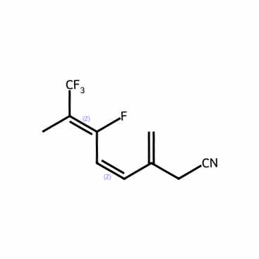 C=C(/C=C\C(F)=C(/C)C(F)(F)F)CC#N